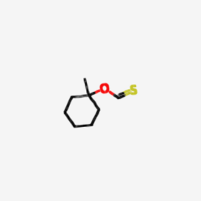 CC1(OC=S)CCCCC1